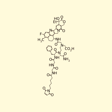 CC[C@@]1(O)C(=O)OCc2c1cc1n(c2=O)Cc2c-1nc1cc(F)c(C)c3c1c2[C@@H](NC(=O)CN(CCN(CC(N)=O)C(=O)[C@H](Cc1ccccc1)NC(=O)CNC(=O)CNC(=O)CCCCCN1C(=O)C=CC1=O)CC(=O)O)CC3